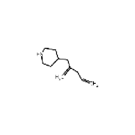 C=CCC(=C)CC1CCNCC1